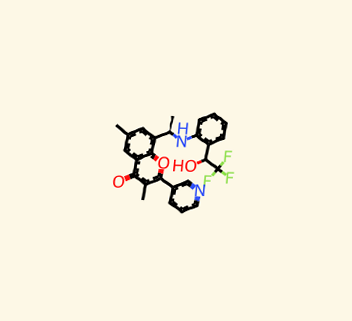 Cc1cc([C@@H](C)Nc2ccccc2C(O)C(F)(F)F)c2oc(-c3cccnc3)c(C)c(=O)c2c1